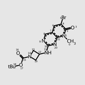 Cn1c(=O)c(Br)cc2cnc(NC3CN(C(=O)OC(C)(C)C)C3)nc21